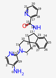 Nc1ccnc(N2CCC3(CC2)C[C@H](NC(=O)c2ccccn2)c2ccccc23)c1